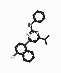 CC(C)c1cc(-c2ccc(F)c3ccccc23)nc(Nc2ccccc2)n1